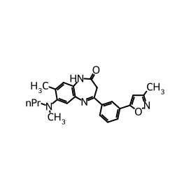 CCCN(C)c1cc2c(cc1C)NC(=O)CC(c1cccc(-c3cc(C)no3)c1)=N2